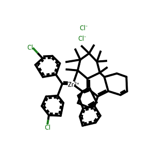 CC12C(=C3Cc4ccccc4C3=C3C=CCCC31)[C](C)([Zr+2]([C]1=CC=CC1)=[C](c1ccc(Cl)cc1)c1ccc(Cl)cc1)C(C)(C)C(C)(C)C2(C)C.[Cl-].[Cl-]